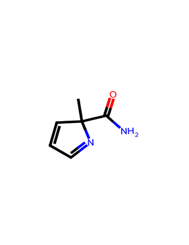 CC1(C(N)=O)C=CC=N1